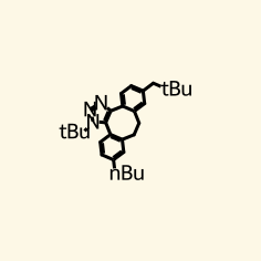 CCCCc1ccc2c(c1)CCc1cc(CC(C)(C)C)ccc1-c1nnn(C(C)(C)C)c1-2